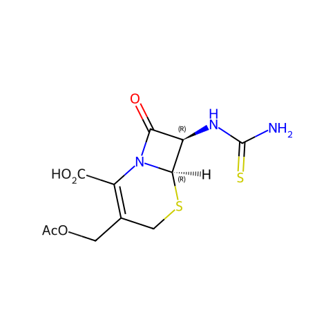 CC(=O)OCC1=C(C(=O)O)N2C(=O)[C@@H](NC(N)=S)[C@H]2SC1